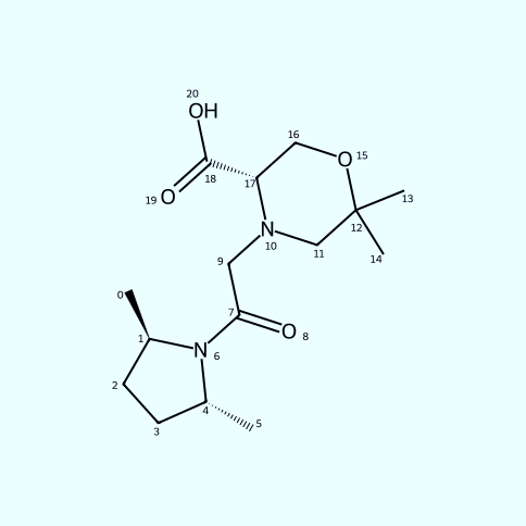 C[C@@H]1CC[C@@H](C)N1C(=O)CN1CC(C)(C)OC[C@H]1C(=O)O